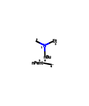 CCCCN(C)CC.[CH2]CCCCC